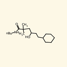 CCCCNC(=O)C(C)(C)CC(O)CCC1CCCCC1